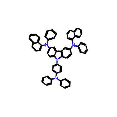 c1ccc(N(c2ccccc2)c2ccc(-n3c4ccc(N(c5ccccc5)c5cccc6ccccc56)cc4c4cc(N(c5ccccc5)c5cccc6ccccc56)ccc43)cc2)cc1